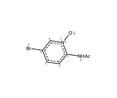 CC(=O)Nc1ccc(Br)c[n+]1[O-]